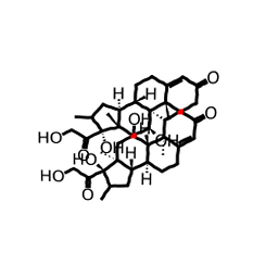 CC1C[C@H]2[C@@H]3CCC4=CC(=O)CC([C@]56[C@@H](O)C[C@@]7(C)[C@@H](CC(C)[C@]7(O)C(=O)CO)[C@@H]5CCC5=CC(=O)CC[C@@]56C)[C@]4(C)[C@H]3C(O)C[C@]2(C)[C@@]1(O)C(=O)CO